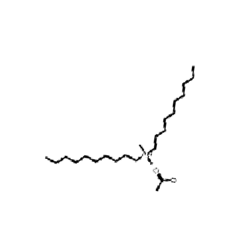 CC(=O)[O-].CCCCCCCCCC[As+](C)(C)CCCCCCCCCC